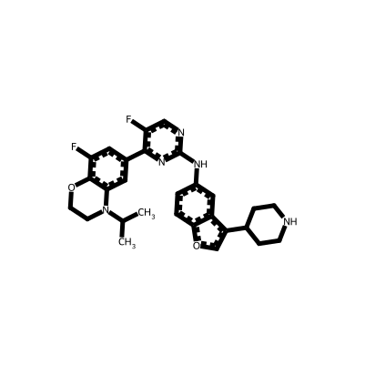 CC(C)N1CCOc2c(F)cc(-c3nc(Nc4ccc5occ(C6CCNCC6)c5c4)ncc3F)cc21